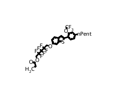 C=CC(=O)OCC(F)(F)C(F)(F)C(F)(F)COc1ccc2cc(-c3ccc(CCCCC)cc3OC(F)(F)F)sc2c1